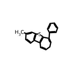 Cc1ccc2c3c(sc2c1)C(c1ccccc1)=CCC=C3